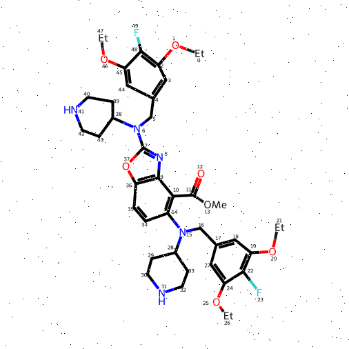 CCOc1cc(CN(c2nc3c(C(=O)OC)c(N(Cc4cc(OCC)c(F)c(OCC)c4)C4CCNCC4)ccc3o2)C2CCNCC2)cc(OCC)c1F